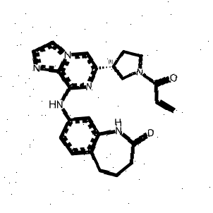 C=CC(=O)N1CC[C@@H](c2cn3ccnc3c(Nc3ccc4c(c3)NC(=O)CCC4)n2)C1